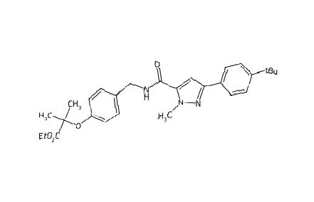 CCOC(=O)C(C)(C)Oc1ccc(CNC(=O)c2cc(-c3ccc(C(C)(C)C)cc3)nn2C)cc1